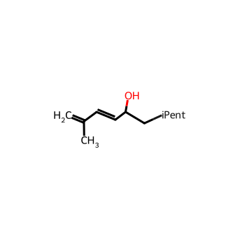 [CH2]CCC(C)CC(O)C=CC(=C)C